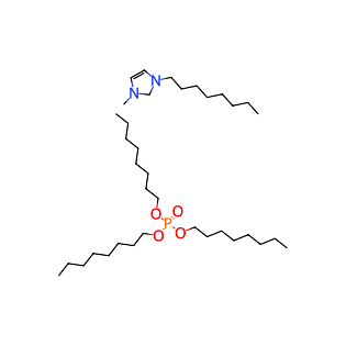 CCCCCCCCN1C=CN(C)C1.CCCCCCCCOP(=O)(OCCCCCCCC)OCCCCCCCC